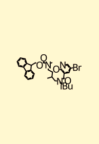 CCC(C)N1CC(C)C(CN(C)C(=O)OCC2c3ccccc3-c3ccccc32)Oc2ncc(Br)cc2C1=O